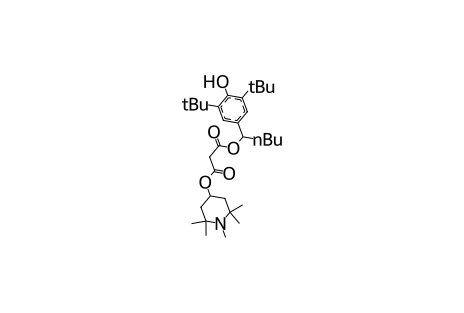 CCCCC(OC(=O)CC(=O)OC1CC(C)(C)N(C)C(C)(C)C1)c1cc(C(C)(C)C)c(O)c(C(C)(C)C)c1